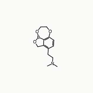 CN(C)CCc1ccc2c3c1COB3OCCO2